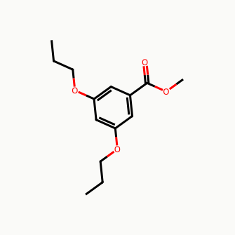 CCCOc1cc(OCCC)cc(C(=O)OC)c1